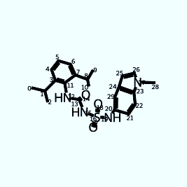 CC(C)c1cccc(C(C)C)c1NC(=O)NS(=O)(=O)Nc1ccc2c(ccn2C)c1